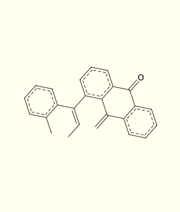 C=C1c2ccccc2C(=O)c2cccc(/C(=C/C)c3ccccc3C)c21